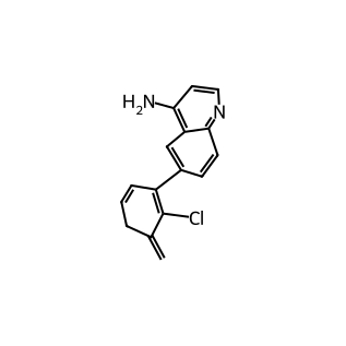 C=C1CC=CC(c2ccc3nccc(N)c3c2)=C1Cl